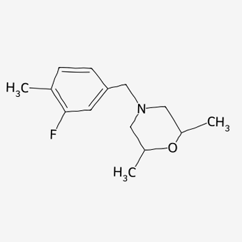 Cc1ccc(CN2CC(C)OC(C)C2)cc1F